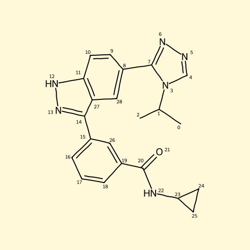 CC(C)n1cnnc1-c1ccc2[nH]nc(-c3cccc(C(=O)NC4CC4)c3)c2c1